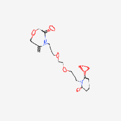 C=C1COCC(=O)N1CCOCCOCCN1C(=O)CCCC1=O